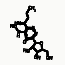 CCCC(=N)c1nnn(C2OC(CO)C(O)C2O)c(=O)c1NO